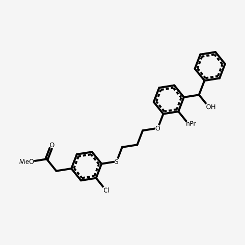 CCCc1c(OCCCSc2ccc(CC(=O)OC)cc2Cl)cccc1C(O)c1ccccc1